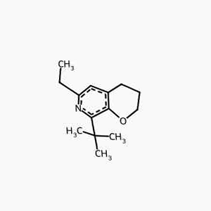 CCc1cc2c(c(C(C)(C)C)n1)OCCC2